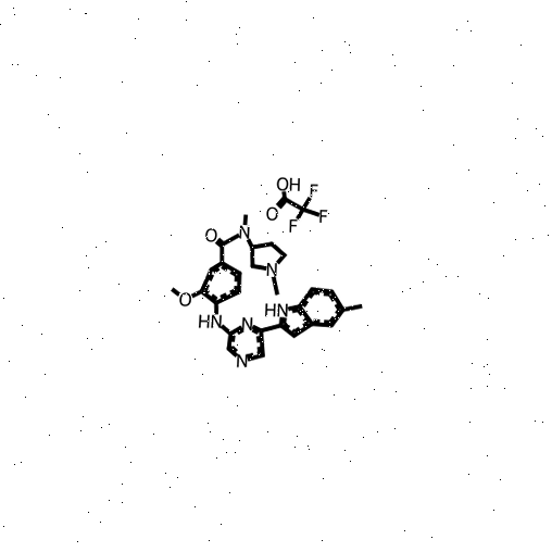 COc1cc(C(=O)N(C)C2CCN(C)C2)ccc1Nc1cncc(-c2cc3cc(C)ccc3[nH]2)n1.O=C(O)C(F)(F)F